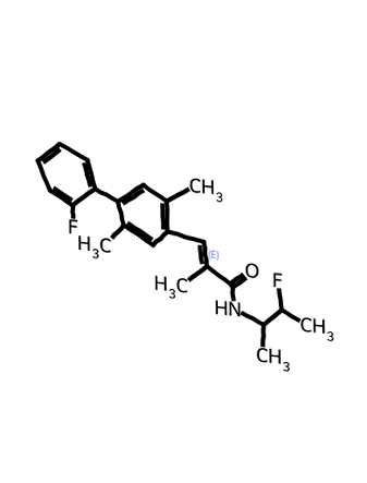 C/C(=C\c1cc(C)c(-c2ccccc2F)cc1C)C(=O)NC(C)C(C)F